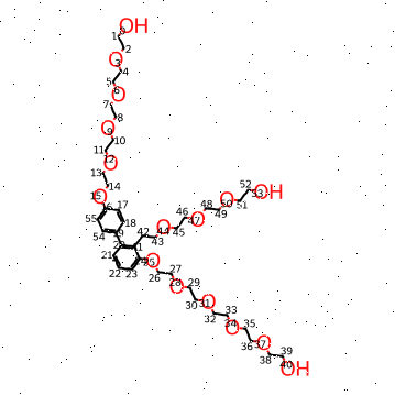 OCCOCCOCCOCCOCCOc1ccc(-c2[c]ccc(OCCOCCOCCOCCOCCO)c2CCOCCOCCOCCO)cc1